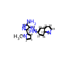 Cn1cccc1C1=NN=C(N)/C1=N/Nc1ccc2ncccc2c1